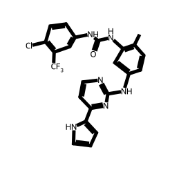 Cc1ccc(Nc2nccc(-c3ccc[nH]3)n2)cc1NC(=O)Nc1ccc(Cl)c(C(F)(F)F)c1